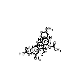 CC(=O)O[C@@H]1C[C@@H]2C[C@H](N)CC[C@]2(C)[C@H]2C[C@H](N)[C@]3(C)[C@@H]([C@H](C)CCC(=O)O)CC[C@H]3[C@H]12